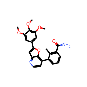 COc1cc(-c2cc3nccc(-c4cccc(C(N)=O)c4C)c3o2)cc(OC)c1OC